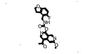 COc1cc2c(C(C)=O)cnc(OC(=O)NCc3c(F)ccc4c3CCO4)c2cn1